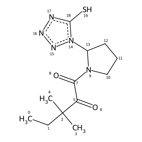 CCC(C)(C)C(=O)C(=O)N1CCCC1n1nnnc1S